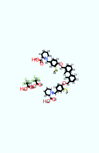 CSc1cc(CN2CCCC[C@H]2C(=O)O)ccc1OCc1cccc(-c2cccc(COc3ccc(CN4CCCC[C@H]4C(=O)O)cc3SC)c2C)c1C.O=C(O)C(F)(F)F.O=C(O)C(F)(F)F